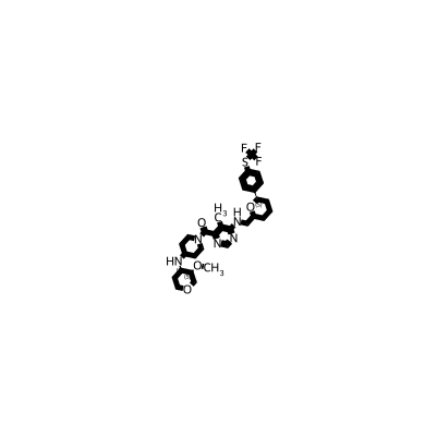 CO[C@@H]1COCC[C@@H]1NC1CCN(C(=O)c2ncnc(NCC3CCC[C@@H](c4ccc(SC(F)(F)F)cc4)O3)c2C)CC1